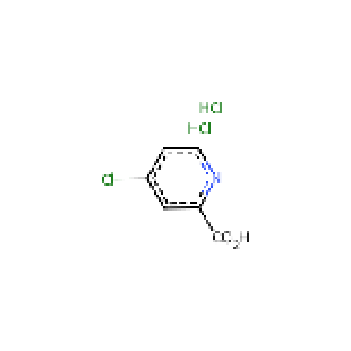 Cl.Cl.O=C(O)c1cc(Cl)ccn1